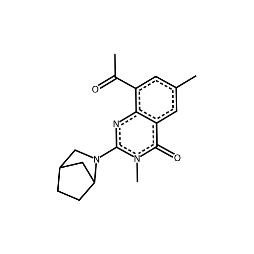 CC(=O)c1cc(C)cc2c(=O)n(C)c(N3CC4CCC3C4)nc12